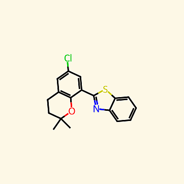 CC1(C)CCc2cc(Cl)cc(-c3nc4ccccc4s3)c2O1